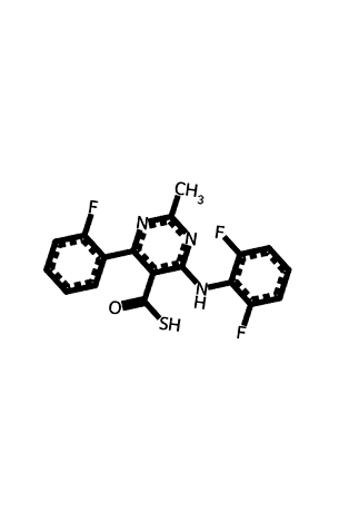 Cc1nc(Nc2c(F)cccc2F)c(C(=O)S)c(-c2ccccc2F)n1